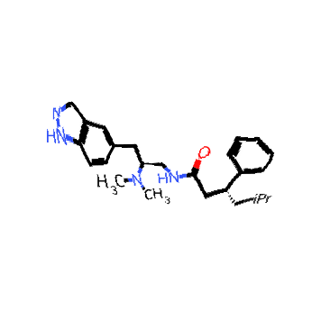 CC(C)C[C@H](CC(=O)NC[C@H](Cc1ccc2[nH]ncc2c1)N(C)C)c1ccccc1